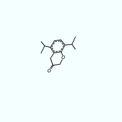 CC(C)c1ccc(C(C)C)c2c1CC(=O)CO2